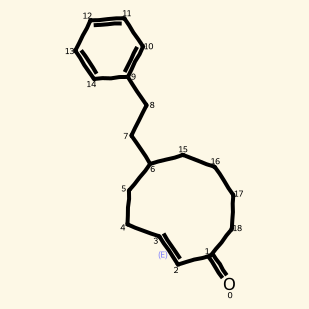 O=C1/C=C/CCC(CCc2ccccc2)CCCC1